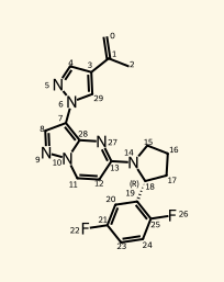 C=C(C)c1cnn(-c2cnn3ccc(N4CCC[C@@H]4c4cc(F)ccc4F)nc23)c1